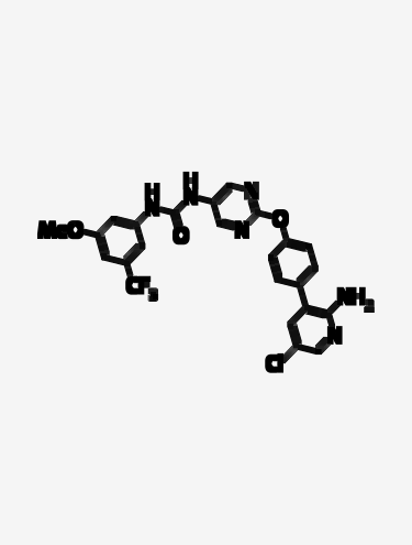 COc1cc(NC(=O)Nc2cnc(Oc3ccc(-c4cc(Cl)cnc4N)cc3)nc2)cc(C(F)(F)F)c1